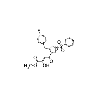 COC(=O)C(O)=CC(=O)c1cn(S(=O)(=O)c2ccccc2)cc1Cc1ccc(F)cc1